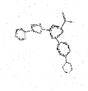 O=C(O)c1cc(-c2ccc(C3CCNCC3)cc2)cc(-n2cc(-c3ccncc3)nn2)c1